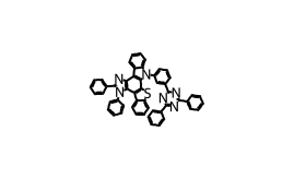 c1ccc(-c2nc(-c3ccccc3)nc(-c3cccc(-n4c5ccccc5c5c6nc(-c7ccccc7)n(-c7ccccc7)c6c6c7ccccc7sc6c54)c3)n2)cc1